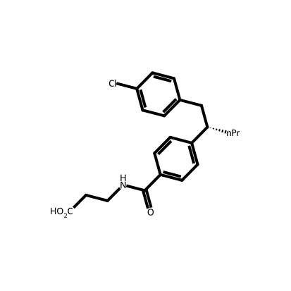 CCC[C@@H](Cc1ccc(Cl)cc1)c1ccc(C(=O)NCCC(=O)O)cc1